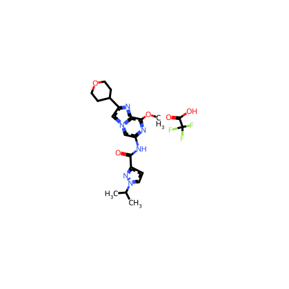 COc1nc(NC(=O)c2ccn(C(C)C)n2)cn2cc(C3CCOCC3)nc12.O=C(O)C(F)(F)F